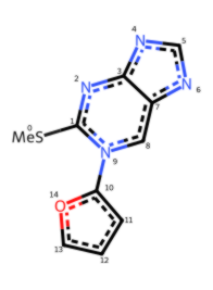 CSc1nc2ncnc-2cn1-c1ccco1